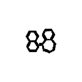 C1=Cc2ccccc2NN=C1.c1ccc2ccccc2c1